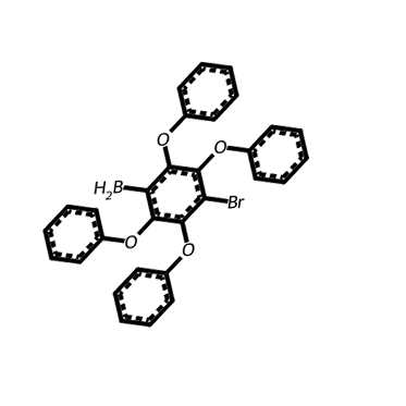 Bc1c(Oc2ccccc2)c(Oc2ccccc2)c(Br)c(Oc2ccccc2)c1Oc1ccccc1